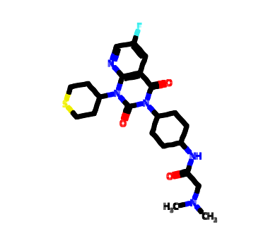 CN(C)CC(=O)NC1CCC(n2c(=O)c3cc(F)cnc3n(C3CCSCC3)c2=O)CC1